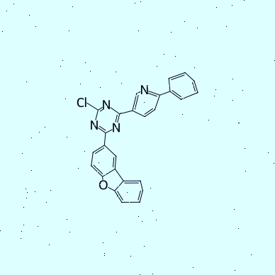 Clc1nc(-c2ccc(-c3ccccc3)nc2)nc(-c2ccc3oc4ccccc4c3c2)n1